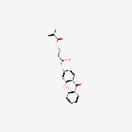 C=C(C)C(=O)OCCC(O)Oc1ccc(C(=O)c2ccccc2)c(O)c1